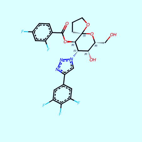 O=C(O[C@@H]1[C@@H](n2cc(-c3cc(F)c(F)c(F)c3)nn2)[C@@H](O)[C@@H](CO)O[C@@]12CCCO2)c1ccc(F)cc1F